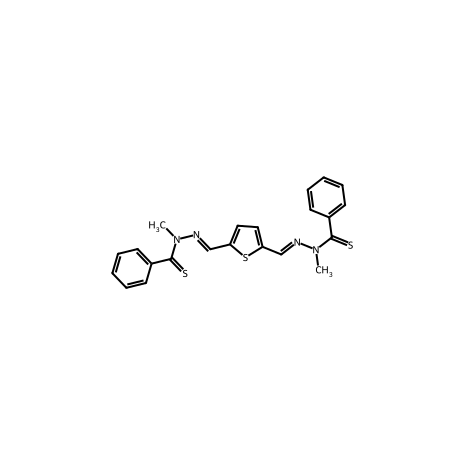 CN(/N=C/c1ccc(/C=N/N(C)C(=S)c2ccccc2)s1)C(=S)c1ccccc1